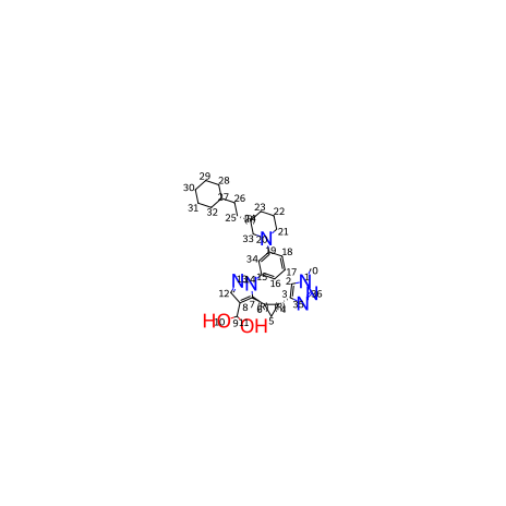 Cn1cc([C@@H]2C[C@H]2c2c(C(O)O)cnn2-c2cccc(N3CCC[C@@H](CCC4CCCCC4)C3)c2)nn1